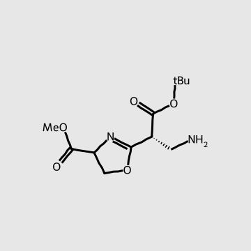 COC(=O)C1COC([C@@H](CN)C(=O)OC(C)(C)C)=N1